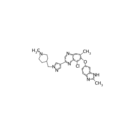 Cc1nc2ccc(Oc3c(C)cc4ncc(-c5cnn(CC6CCN(C)CC6)c5)nc4c3Cl)cc2[nH]1